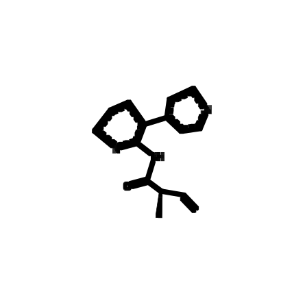 C=C[C@@H](C)C(=O)Nc1ncccc1-c1ccncc1